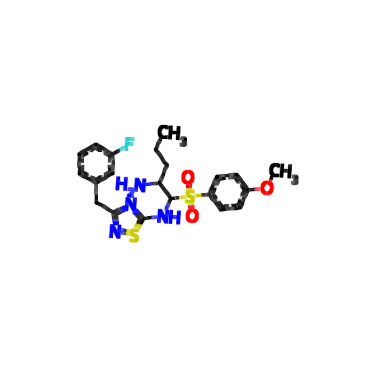 CCCC(N)C(Nc1nc(Cc2cccc(F)c2)ns1)S(=O)(=O)c1ccc(OC)cc1